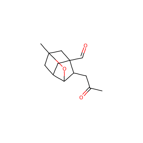 CC(=O)CC1C2OC3(C)CC2CC1(C=O)C3